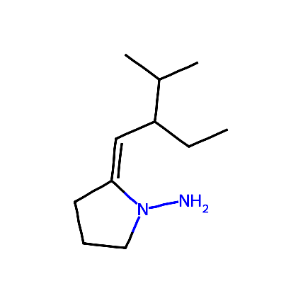 CCC(/C=C1/CCCN1N)C(C)C